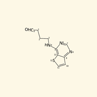 O=CCCCNc1ncnc2ccsc12